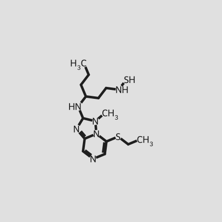 CCCC(CCNS)NC1N=C2C=NC=C(SCC)N2N1C